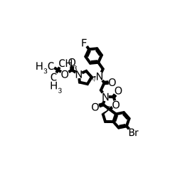 CC(C)(C)OC(=O)N1CC[C@@H](N(Cc2ccc(F)cc2)C(=O)CN2C(=O)O[C@@]3(CCc4cc(Br)ccc43)C2=O)C1